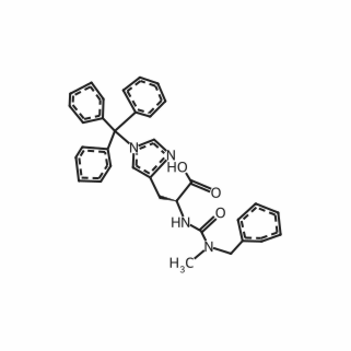 CN(Cc1ccccc1)C(=O)N[C@@H](Cc1cn(C(c2ccccc2)(c2ccccc2)c2ccccc2)cn1)C(=O)O